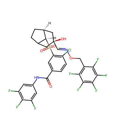 O=C(Nc1cc(F)c(F)c(F)c1)c1ccc(Cl)c(S(=O)(=O)[C@H]2C3CC[C@H]2C[C@](O)(/C=N/OCc2c(F)c(F)c(F)c(F)c2F)C3)c1